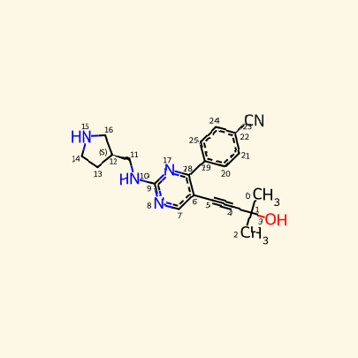 CC(C)(O)C#Cc1cnc(NC[C@H]2CCNC2)nc1-c1ccc(C#N)cc1